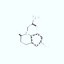 NC(=O)CN1C(=O)CCc2cc(Cl)ccc21